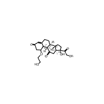 C[C@]12CC(=O)[C@H]3[C@@H](CCC4=CC(=O)CC(OCCO)[C@@]43C)[C@@H]1CC[C@]2(O)C(=O)CO